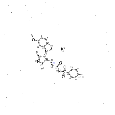 COc1ccc2ccn(-c3c(/C=C/C(=O)[N-]S(=O)(=O)c4ccc(C)cc4)c(C)nn3C)c2c1.[K+]